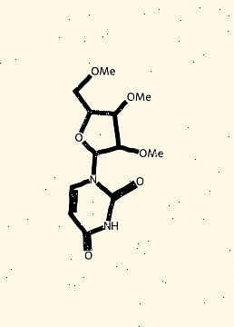 COCC1OC(n2ccc(=O)[nH]c2=O)C(OC)C1OC